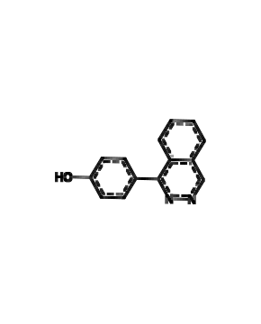 Oc1ccc(-c2nncc3ccccc23)cc1